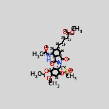 CCOc1cc([C@@H](CS(C)(=O)=O)N2C(=O)c3cc(CCCCC(=O)OC)cc(NC(C)=O)c3C2=O)ccc1OC